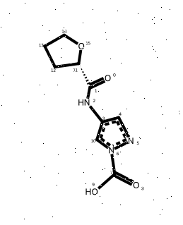 O=C(Nc1cnn(C(=O)O)c1)[C@@H]1CCCO1